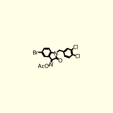 CC(=O)O/N=C1/C(=O)N(Cc2ccc(Cl)c(Cl)c2)c2ccc(Br)cc21